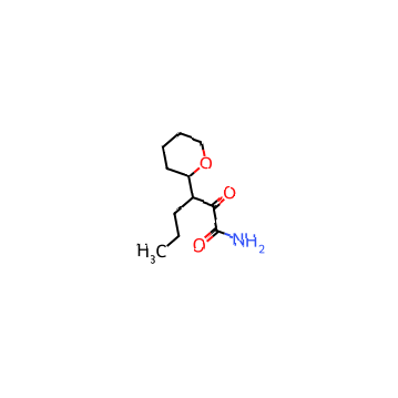 CCCC(C(=O)C(N)=O)C1CCCCO1